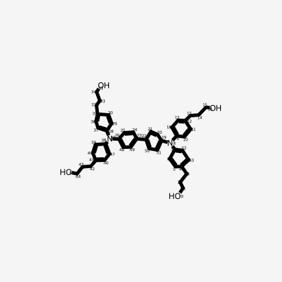 OCCCc1ccc(N(c2ccc(CCCO)cc2)c2ccc(-c3ccc(N(c4ccc(CCCO)cc4)c4ccc(CCCO)cc4)cc3)cc2)cc1